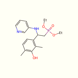 CCOP(=O)(CC(Nc1cccnc1)c1ccc(C)c(O)c1C)OCC